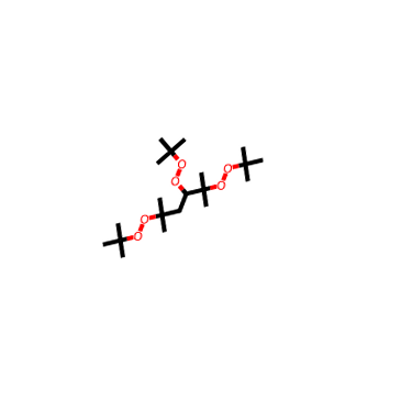 CC(C)(C)OOC(CC(C)(C)OOC(C)(C)C)C(C)(C)OOC(C)(C)C